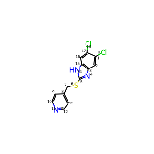 Clc1cc2nc(SCc3ccncc3)[nH]c2cc1Cl